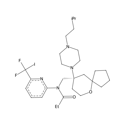 CCC(=O)N(C[C@@]1(N2CCN(CCC(C)C)CC2)CCOC2(CCCC2)C1)c1cccc(C(F)(F)I)n1